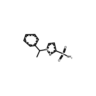 CC(c1ccccc1)n1ccc(S(N)(=O)=O)n1